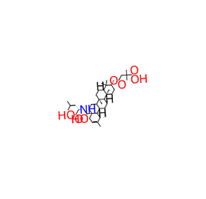 CC1=CC[C@]2(C(O)N[C@@H](CC(C)C)C(=O)O)CC[C@]3(C)C(CC[C@@H]4[C@@]5(C)CC[C@H](OC(=O)CC(C)(C)C(=O)O)C(C)(C)[C@@H]5CC[C@]43C)[C@H]2[C@@H]1C